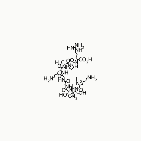 C[C@H](NC(=O)[C@H](CCCCN)NC(=O)CNC(=O)CNC(=O)[C@@H](NC(=O)[C@H](CO)NC(=O)[C@@H](N)CCCCN)[C@@H](C)O)C(=O)N1CCC[C@H]1C(=O)N[C@@H](CCCNC(=N)N)C(=O)O